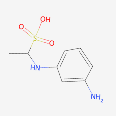 CC(Nc1cccc(N)c1)S(=O)(=O)O